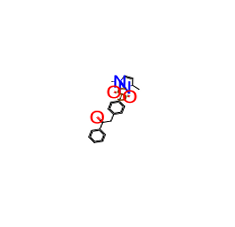 CC1C=CN(C)N1S(=O)(=O)c1ccc(CC(=O)c2ccccc2)cc1